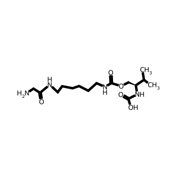 CC(C)[C@H](COC(=O)NCCCCCCNC(=O)CN)NC(=O)O